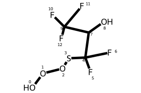 OOOSC(F)(F)C(O)C(F)(F)F